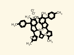 Cc1ccc(-c2c(C)c(C)cc3c2C=C(c2ccc(C)o2)[CH]3[Zr+2](=[C]2CCC2)[CH]2C(c3ccc(C)o3)=Cc3c2cc(C)c(C)c3-c2ccc(C)cc2)cc1.[Cl-].[Cl-]